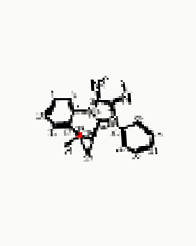 C/N=C1\C(=N/C)N2c3ccccc3C3(C)CC3(C)C2N1c1ccccc1